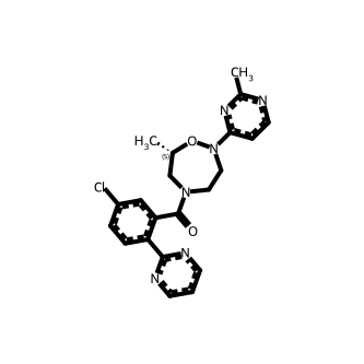 Cc1nccc(N2CCN(C(=O)c3cc(Cl)ccc3-c3ncccn3)C[C@H](C)O2)n1